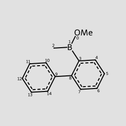 COB(C)c1ccccc1-c1ccccc1